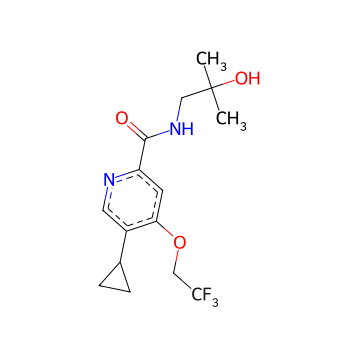 CC(C)(O)CNC(=O)c1cc(OCC(F)(F)F)c(C2CC2)cn1